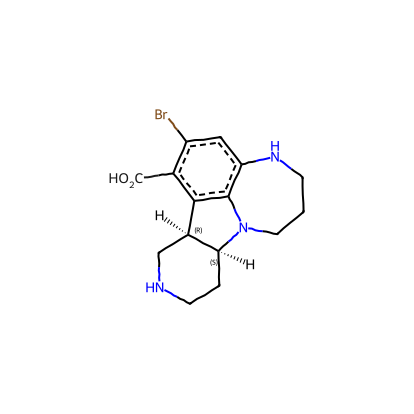 O=C(O)c1c(Br)cc2c3c1[C@@H]1CNCC[C@@H]1N3CCCN2